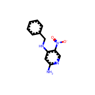 Nc1cc(NCc2ccccc2)c([N+](=O)[O-])cn1